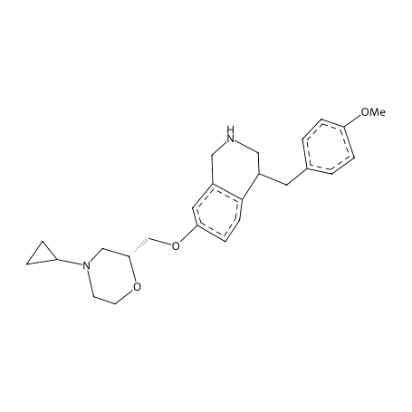 COc1ccc(CC2CNCc3cc(OC[C@H]4CN(C5CC5)CCO4)ccc32)cc1